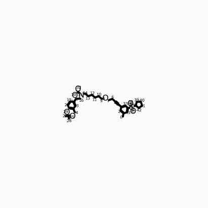 Cc1cc(C#CCCOCCCCCCN2CC(c3ccc4c(c3)COC(C)(C)O4)OC2=O)cc(S(=O)(=O)C2CCCC2)c1